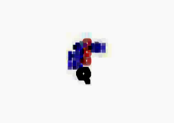 CNC(=O)OC(NC(=O)Nc1ccc(C)cc1)=[N+](C)C